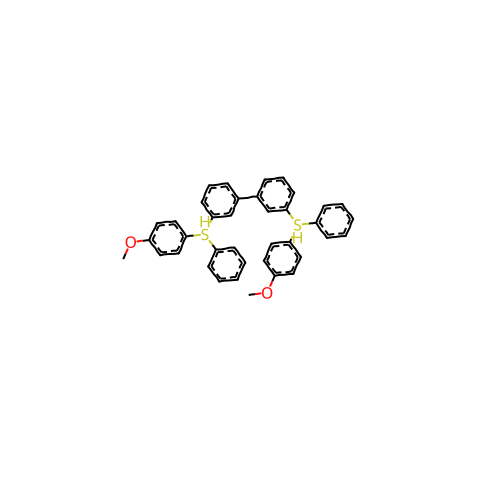 COc1ccc([SH](c2ccccc2)c2cccc(-c3cccc([SH](c4ccccc4)c4ccc(OC)cc4)c3)c2)cc1